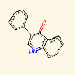 O=c1c(-c2ccccc2)c[nH]c2ccccc12